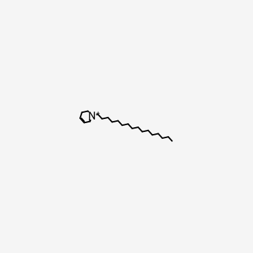 CCCCCCCCCCCCCCCC[N+]1=CC=CCC1